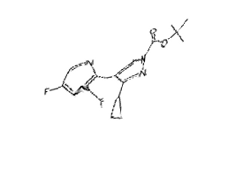 CC(C)(C)OC(=O)n1cc(-c2ncc(F)cc2F)c(C2CC2)n1